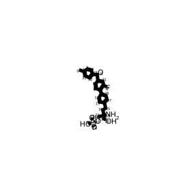 Cc1ccc(C(=O)c2ccc(-c3ccc(CCC(N)(CO)COP(=O)(O)O)cc3)c(F)c2)cc1